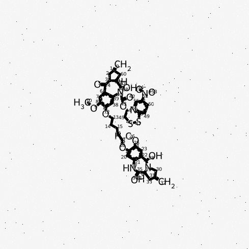 C=C1CC2C(=O)c3cc(OC)c(OCCCCCOc4cc5c(cc4OC)C(O)N4CC(=C)C[C@H]4C(=O)N5)cc3N(C(=O)OCCSSc3ccc([N+](=O)[O-])cn3)[C@@H](O)[C@@H]2C1